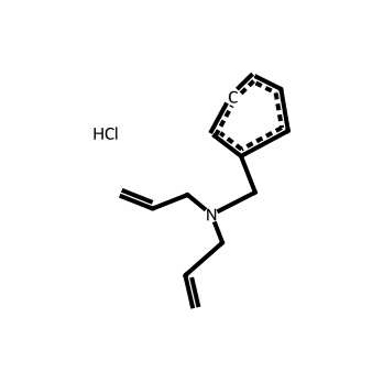 C=CCN(CC=C)Cc1ccccc1.Cl